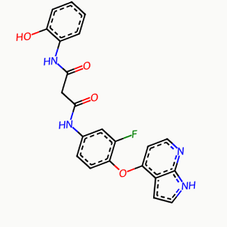 O=C(CC(=O)Nc1ccccc1O)Nc1ccc(Oc2ccnc3[nH]ccc23)c(F)c1